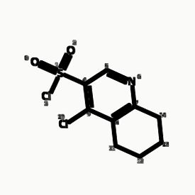 O=S(=O)(Cl)c1cnc2c(c1Cl)CCCC2